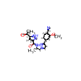 COc1cc(-c2ccn(C[C@H](C)NC(=O)c3cc(C(C)=O)[nH]n3)n2)ccc1C#N